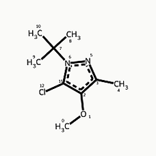 COc1c(C)nn(C(C)(C)C)c1Cl